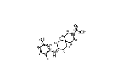 Cc1cnc(Cl)nc1NC1CCC2(CC1)CCN(C(=O)O)CC2